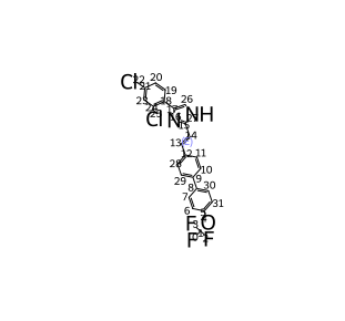 FC(F)(F)Oc1ccc(-c2ccc(/C=C/c3nc(-c4ccc(Cl)cc4Cl)c[nH]3)cc2)cc1